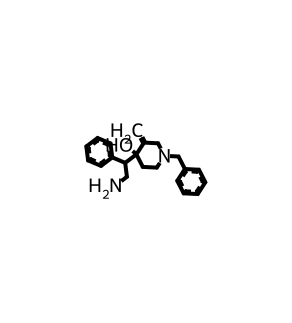 C=C1CN(Cc2ccccc2)CCC1(O)C(CN)c1ccccc1